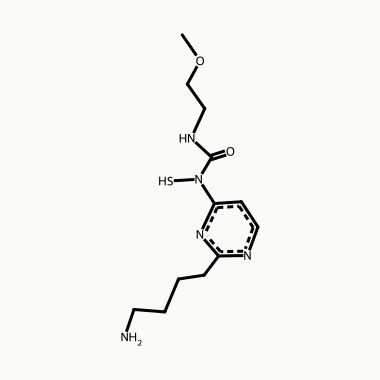 COCCNC(=O)N(S)c1ccnc(CCCCN)n1